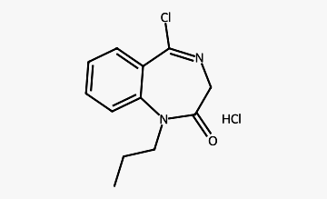 CCCN1C(=O)CN=C(Cl)c2ccccc21.Cl